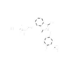 C[N+](C)(C)CCOc1cccc2c1C(=O)N(Cc1ccc(Cl)c(C(F)(F)F)c1)C2=O